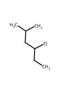 CCC(Cl)[CH]C(C)C